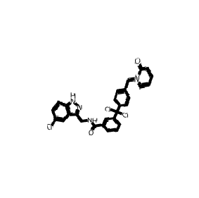 O=C(NCc1n[nH]c2ccc(Cl)cc12)c1cccc(C(Cl)(Cl)c2ccc(Cn3ccccc3=O)cc2)c1